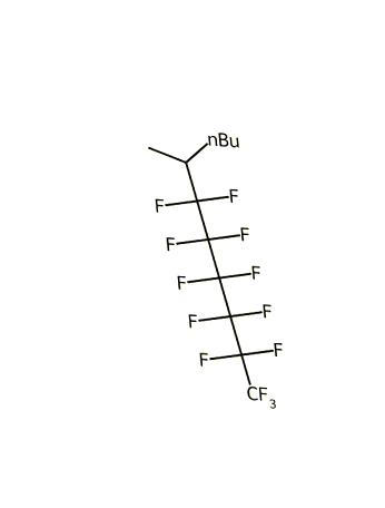 CCCCC(C)C(F)(F)C(F)(F)C(F)(F)C(F)(F)C(F)(F)C(F)(F)F